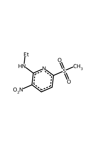 CCNc1nc(S(C)(=O)=O)ccc1[N+](=O)[O-]